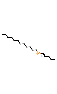 CCC/C=C/[P]CCCCCCCCCCCC